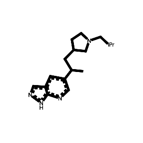 CC(C)CN1CCC(CC(C)c2cnc3[nH]ncc3c2)C1